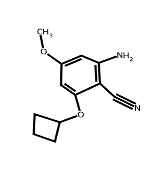 COc1cc(N)c(C#N)c(OC2CCC2)c1